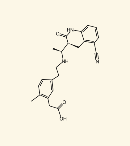 Cc1ccc(CCN[C@@H](C)[C@@H]2Cc3c(C#N)cccc3NC2=O)cc1CC(=O)O